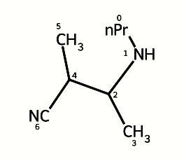 CCCNC(C)C(C)C#N